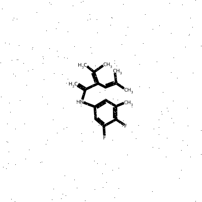 C=C(Nc1cc(C)c(F)c(F)c1)C(C=C(C)C)=C(C)C